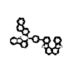 C1=CC2Sc3c(cccc3N(c3ccc(-c4cccc5c4oc4ccc6ccc7oc8ccccc8c7c6c45)cc3)c3ccc4c(ccc5ccccc54)c3)C2C=C1